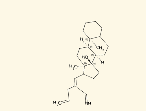 C=CCC(C=N)=CC1CC[C@@]2(O)[C@@H]3CCC4CCCC[C@]4(C)[C@@H]3CC[C@]12C